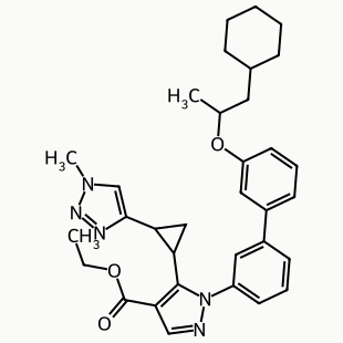 CCOC(=O)c1cnn(-c2cccc(-c3cccc(OC(C)CC4CCCCC4)c3)c2)c1C1CC1c1cn(C)nn1